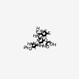 CC(C)Oc1cc(Nc2cc(OC(CO)CO)nc(N[C@@H](C)c3ccc(F)cn3)n2)n[nH]1